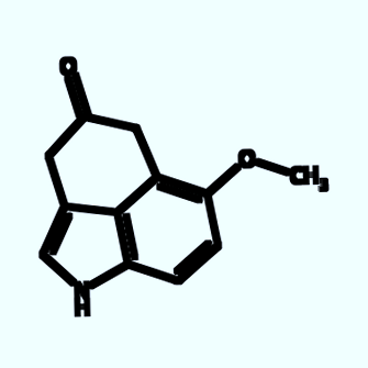 COc1ccc2[nH]cc3c2c1CC(=O)C3